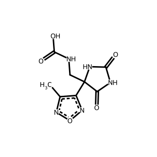 Cc1nonc1C1(CNC(=O)O)NC(=O)NC1=O